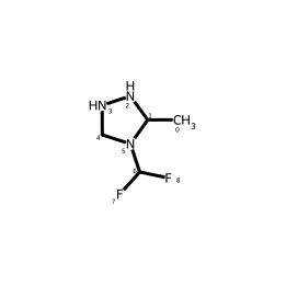 CC1NNCN1C(F)F